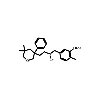 COc1cc(CN(CCC2(c3ccccc3)COCC(C)(C)C2)C(C)=O)ccc1C